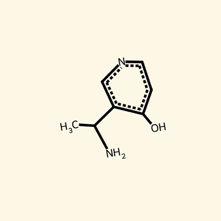 CC(N)c1cnccc1O